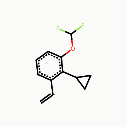 C=[C]c1cccc(OC(F)F)c1C1CC1